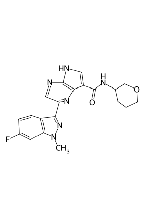 Cn1nc(-c2cnc3[nH]cc(C(=O)NC4CCCOC4)c3n2)c2ccc(F)cc21